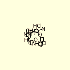 Cc1ncc2n1[C@@H]1CC[C@H]2N2CCN(C(=O)C2)c2cccc3ccc(cc23)Oc2cc1ccc2C#N.Cl.Cl